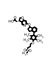 Cc1c(C)c(-c2cccc3c2CCC3Oc2cc3c(cn2)[C@H](CC(=O)O)CO3)c(C)c(C)c1OCCCS(C)(=O)=O